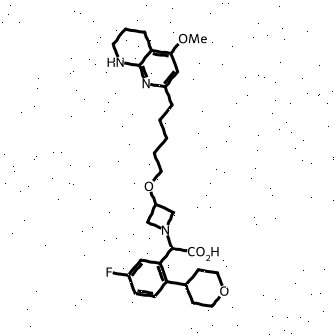 COc1cc(CCCCCOC2CN(C(C(=O)O)c3cc(F)ccc3C3CCOCC3)C2)nc2c1CCCN2